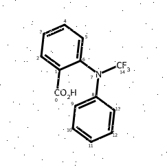 O=C(O)c1ccccc1N(c1ccccc1)C(F)(F)F